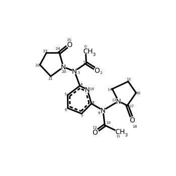 CC(=O)N(c1cccc(N(C(C)=O)N2CCCC2=O)n1)N1CCCC1=O